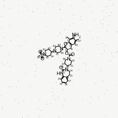 Cc1cc(C[C@@H](OC(=O)N2CCC(N3CCc4ccccc4NC3=O)CC2)C(=O)N2CCN(C3CCN(S(C)(=O)=O)CC3)CC2)cc(C)c1N